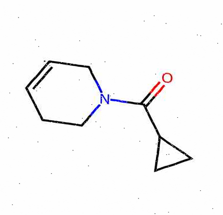 O=C(C1CC1)N1C[C]=CCC1